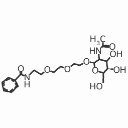 CC(=O)NC1C(O)[C@@H](O)C(CO)O[C@H]1OCCOCCOCCNC(=O)c1ccccc1